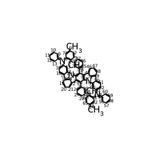 Cc1ccc(C)c(N(c2ccccc2)c2ccc3c4cccc5c6c(-c7ccccc7)c7c(c(-c8ccccc8)c6n(c3c2)c45)c2cccc3c4ccc(N(c5ccccc5)c5cc(C)ccc5C)cc4n7c32)c1